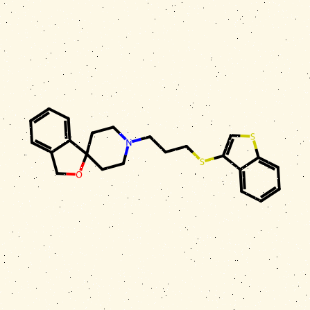 c1ccc2c(c1)COC21CCN(CCCSc2csc3ccccc23)CC1